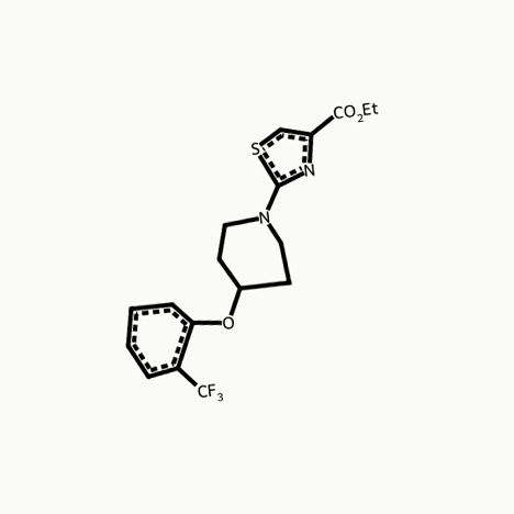 CCOC(=O)c1csc(N2CCC(Oc3ccccc3C(F)(F)F)CC2)n1